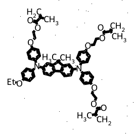 C=C(C)C(=O)OCCOc1ccc(N(c2ccc(OCC)cc2)c2ccc3c(c2)C(C)(C)c2cc(N(c4ccc(OCCOC(=O)C(=C)C)cc4)c4ccc(OCCOC(=O)C(=C)C)cc4)ccc2-3)cc1